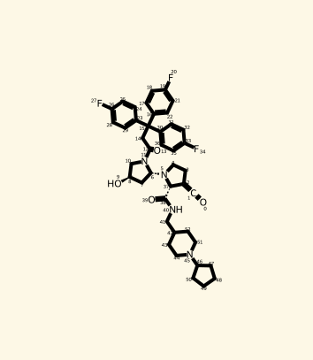 O=C=C1CCN([C@@H]2C[C@@H](O)CN2C(=O)CC(c2ccc(F)cc2)(c2ccc(F)cc2)c2ccc(F)cc2)[C@H]1C(=O)NCC1CCN(C2CCCC2)CC1